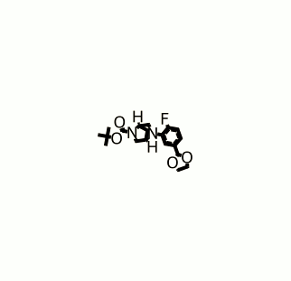 CC(C)(C)OC(=O)N1C[C@@H]2C[C@H]1CN2c1cc(C2OCCO2)ccc1F